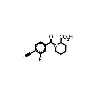 [C]#Cc1ccc(C(=O)N2CCCCC2C(=O)O)cc1F